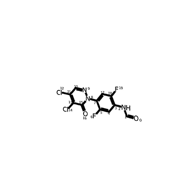 O=CNc1cc(F)c(-n2ncc(Cl)c(Cl)c2=O)cc1F